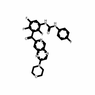 O=C(Nc1ccc(F)cc1)Nc1cc(F)c(F)c(C(=O)c2cc3nc(N4CCOCC4)cnc3cn2)c1F